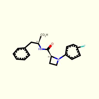 O=C(O)[C@H](Cc1ccccc1)NC(=O)[C@@H]1CCN1c1ccc(F)cc1